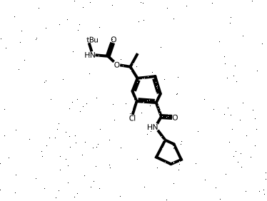 CC(OC(=O)NC(C)(C)C)c1ccc(C(=O)NC2CCCC2)c(Cl)c1